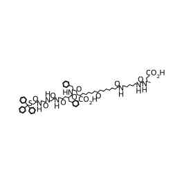 C[C@H](CCC(=O)O)NC(=O)NCCCCCNC(=O)CCCCCCC(=O)CCCCCC(CC(=O)C(Cc1ccccc1)NC(=O)C(CC(=O)CNC(=O)CNC(=O)CNC(=O)CSC(c1ccccc1)(c1ccccc1)c1ccccc1)Cc1ccccc1)C(=O)O